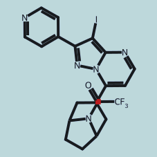 O=C(N1C2CCC1CC(c1ccnc3c(I)c(-c4ccncc4)nn13)C2)C(F)(F)F